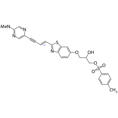 CNc1cnc(C#C/C=C/c2nc3ccc(OCC(O)COS(=O)(=O)c4ccc(C)cc4)cc3s2)cn1